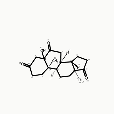 C[C@]12CC[C@@H]3[C@@H](CC(=O)C4(O)CC(=O)CC[C@]34C)[C@@H]1CCC2=O